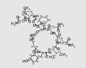 CC[C@H](C)[C@@H]1NC(=O)[C@@H](Cc2ccc(O)cc2)NC(=O)CCS(=O)(=O)CC[C@@H](C(=O)N2CCCC[C@H]2C(=O)N[C@@H](CC(C)C)C(=O)NCC(N)=O)NC(=O)[C@H](CC(N)=O)NC(=O)[C@H](CCC(N)=O)NC1=O